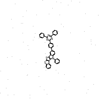 c1ccc(-c2nc(-c3ccccc3)nc(-c3ccc(-c4ccc5c(c4)c4sc6sc7ccccc7c6c4n5-c4ccccc4)cc3)n2)cc1